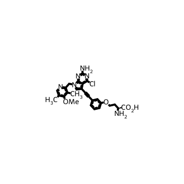 COc1c(C)cnc(Cn2cc(C#Cc3cccc(OCC[C@H](N)C(=O)O)c3)c3c(Cl)nc(N)nc32)c1C